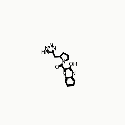 O=C(c1nc2ccccc2nc1O)N1CCCC1Cc1nnn[nH]1